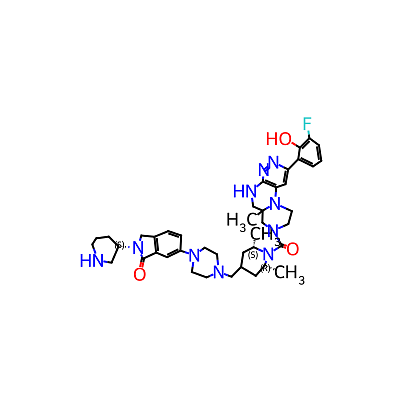 C[C@@H]1CC(CN2CCN(c3ccc4c(c3)C(=O)N([C@H]3CCCNC3)C4)CC2)C[C@H](C)N1C(=O)N1CCN2c3cc(-c4cccc(F)c4O)nnc3NCC2(C)C1